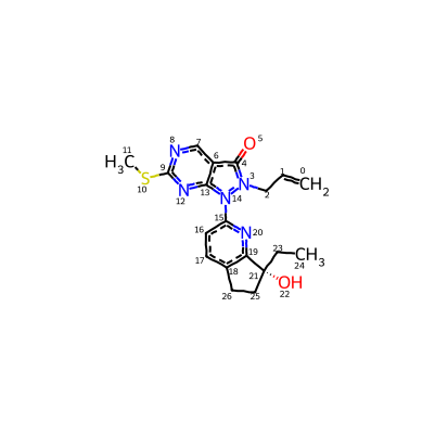 C=CCn1c(=O)c2cnc(SC)nc2n1-c1ccc2c(n1)[C@@](O)(CC)CC2